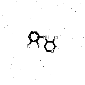 Fc1cccc(NC2CCO[CH]C2Cl)c1F